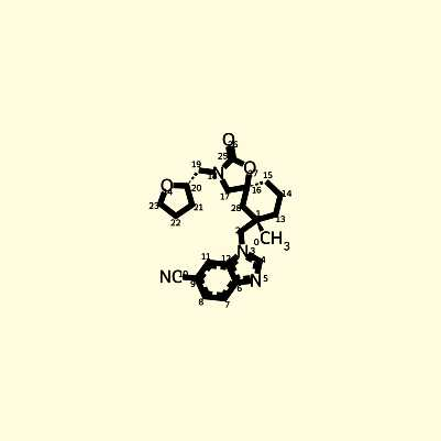 C[C@]1(Cn2cnc3ccc(C#N)cc32)CCC[C@@]2(CN(C[C@@H]3CCCO3)C(=O)O2)C1